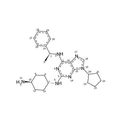 C[C@H](Nc1nc(N[C@H]2CC[C@H](N)CC2)nc2c1ncn2C1CCCC1)c1ccccc1